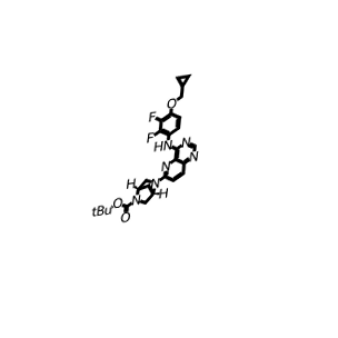 CC(C)(C)OC(=O)N1C[C@@H]2C[C@H]1CN2c1ccc2ncnc(Nc3ccc(OCC4CC4)c(F)c3F)c2n1